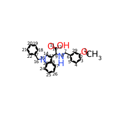 COc1cccc(CNC(C(=O)O)c2cn(Cc3ccccc3)c3ccccc23)c1